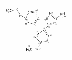 CCCc1ccc(-n2nc(N)cc2-c2ccc(SC)cc2)cc1